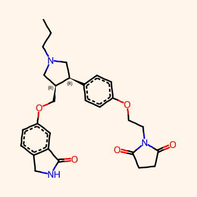 CCCN1C[C@H](COc2ccc3c(c2)C(=O)NC3)[C@H](c2ccc(OCCN3C(=O)CCC3=O)cc2)C1